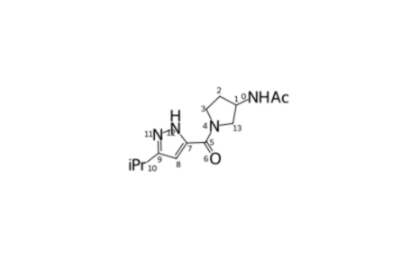 CC(=O)NC1CCN(C(=O)c2cc(C(C)C)n[nH]2)C1